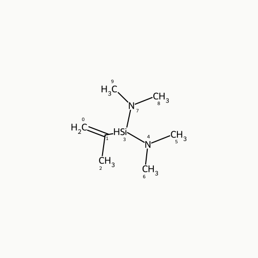 C=C(C)[SiH](N(C)C)N(C)C